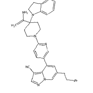 C=C(N)C1(N2CCc3ccccc32)CCN(c2ccc(-c3cc(CCC(C)C)cn4ncc(C#N)c34)cn2)CC1